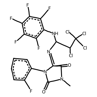 CN1C(=O)C(=NC(Nc2c(F)c(F)c(F)c(F)c2F)C(Cl)C(Cl)(Cl)Cl)N(c2ccccc2F)C1=O